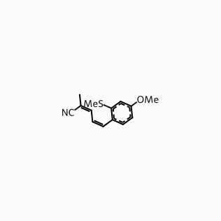 COc1ccc(/C=C\C=C(\C)C#N)c(SC)c1